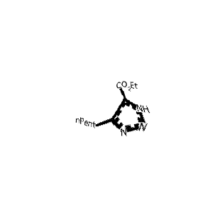 CCCCCc1nn[nH]c1C(=O)OCC